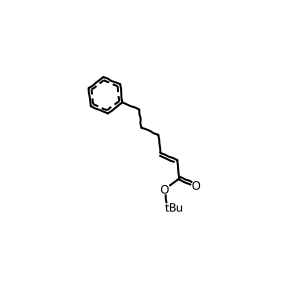 CC(C)(C)OC(=O)C=CCCCc1ccccc1